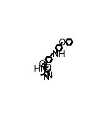 Cc1nn(C)c(C)c1NS(=O)(=O)c1ccc(CNc2ccc(Oc3ccccc3)cc2)cc1